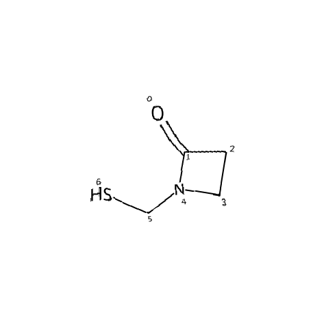 O=C1CCN1CS